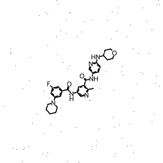 Cc1ncc(NC(=O)c2cc(F)cc(N3CCCCC3)c2)cc1C(=O)Nc1ccc(NC2CCOCC2)nc1